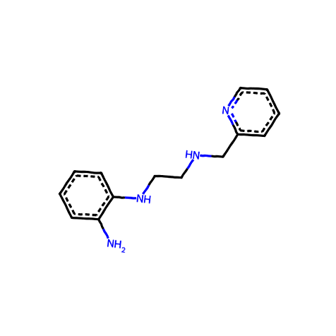 Nc1ccccc1NCCNCc1ccccn1